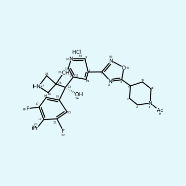 CC(=O)N1CCC(c2nc(-c3cncc([C@@](O)(c4cc(F)c(C(C)C)c(F)c4)C4(C)CNC4)c3)no2)CC1.Cl